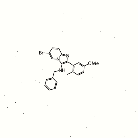 COc1ccc(C)c(-c2nc3ccc(Br)cn3c2NCc2ccccc2)c1